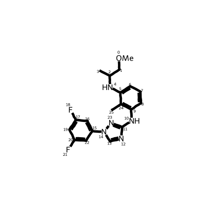 COCC(C)Nc1cccc(Nc2ncn(-c3cc(F)cc(F)c3)n2)c1C